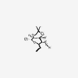 C=CC1O[C@H](CC)[C@@H]2OC(C)(C)O[C@@H]2[C@H]1N=[N+]=[N-]